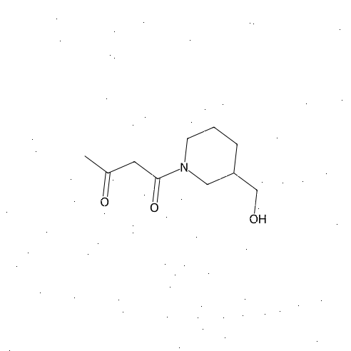 CC(=O)CC(=O)N1CCCC(CO)C1